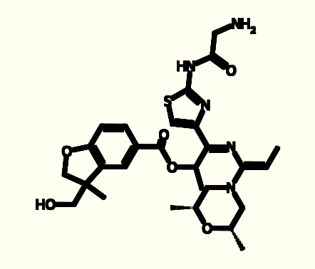 C/C=C(\N=C(\c1csc(NC(=O)CN)n1)C(C)OC(=O)c1ccc2c(c1)C(C)(CO)CO2)N1C[C@@H](C)O[C@@H](C)C1